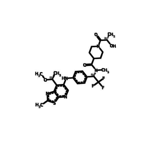 CO[C@@H](C)c1c(Nc2ccc([C@H](N(C)C(=O)C3CCN(C(=O)[C@H](C)O)CC3)C(F)(F)F)cc2)cnc2sc(C)nc12